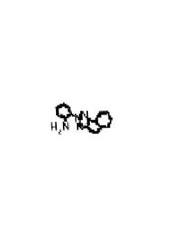 Nc1ccccc1-n1nc2ccc3ccccc3c2n1